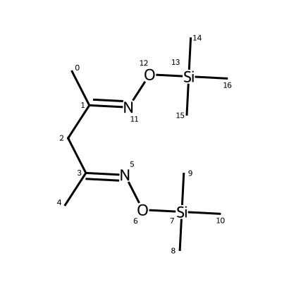 CC(CC(C)=NO[Si](C)(C)C)=NO[Si](C)(C)C